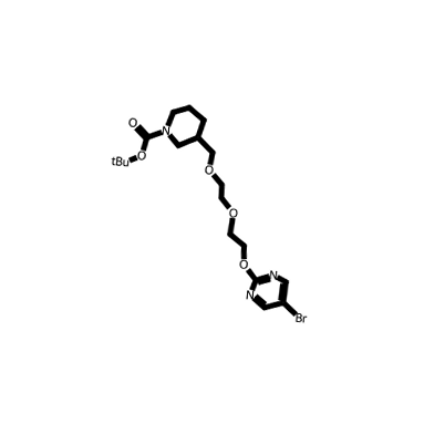 CC(C)(C)OC(=O)N1CCCC(COCCOCCOc2ncc(Br)cn2)C1